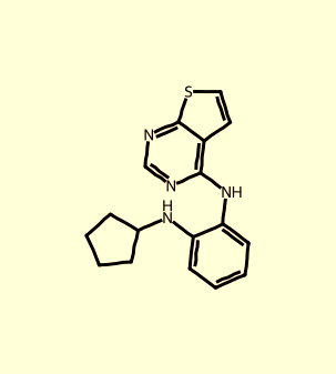 c1ccc(NC2CCCC2)c(Nc2ncnc3sccc23)c1